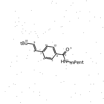 CCCCCNC(=O)c1ccc(/C=C/C(C)(C)C)cc1